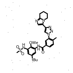 COc1c(NC(=O)c2ccc(C)c(-n3cc(-c4cnc5n4CCCC5)nn3)c2)cc(C(C)(C)C)cc1NS(C)(=O)=O